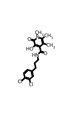 Cc1c(C(=O)NCCCc2ccc(Cl)c(Cl)c2)c(O)c(=O)n(C)c1C